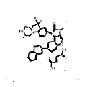 Cn1c(=O)n(-c2ccc(N3CCNCC3)c(C(F)(F)F)c2)c2c3cc(-c4cnc5ccccc5c4)ccc3ncc21.O=C(O)C=CC(=O)O